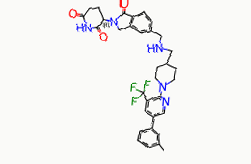 Cc1cccc(-c2cnc(N3CCC(CNCc4ccc5c(c4)CN([C@@H]4CCC(=O)NC4=O)C5=O)CC3)c(C(F)(F)F)c2)c1